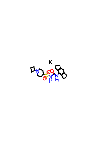 O=C(Nc1c2c(cc3c1CCC3)CCC2)NS(=O)(=O)C1CCN(C2CCC2)CC1.[K]